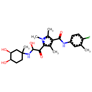 Cc1cc(NC(=O)c2c(C)c(C(=O)C(O)NC3(C)CC[C@@H](O)[C@@H](O)C3)n(C)c2C)ccc1F